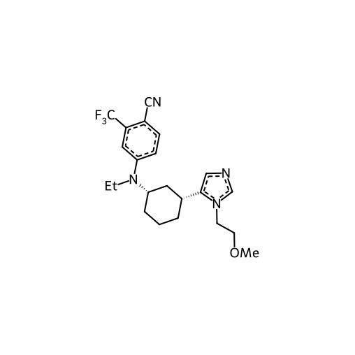 CCN(c1ccc(C#N)c(C(F)(F)F)c1)[C@H]1CCC[C@@H](c2cncn2CCOC)C1